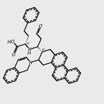 O=CCC(N[C@@H](CCc1ccccc1)C(=O)O)[C@@H]1Cc2ccc3c(ccc4ccccc43)c2CC1N1C=Cc2ccccc2C1